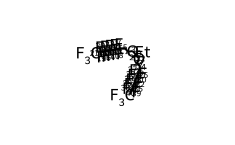 CCC(C)(OCCC(F)(F)C(F)(F)C(F)(F)C(F)(F)C(F)(F)C(F)(F)F)OCCC(F)(F)C(F)(F)C(F)(F)C(F)(F)C(F)(F)C(F)(F)F